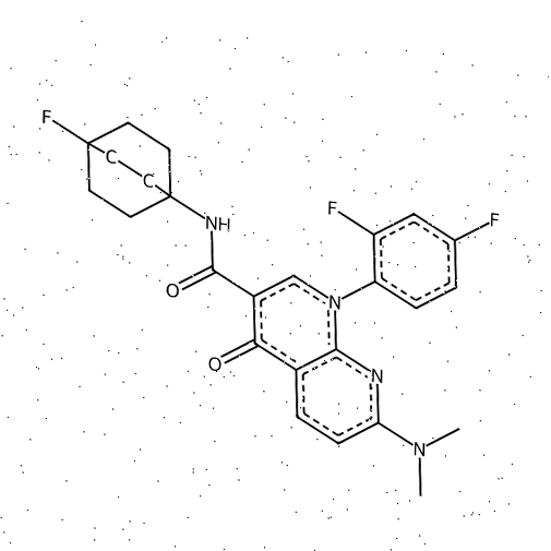 CN(C)c1ccc2c(=O)c(C(=O)NC34CCC(F)(CC3)CC4)cn(-c3ccc(F)cc3F)c2n1